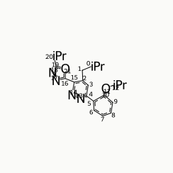 CC(C)Cc1cc(-c2ccccc2OC(C)C)nnc1-c1nnc(C(C)C)o1